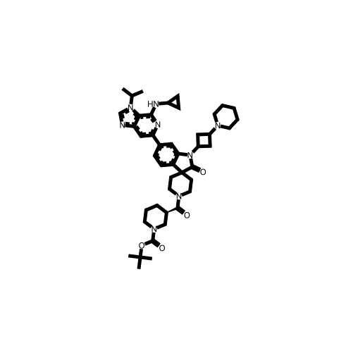 CC(C)n1cnc2cc(-c3ccc4c(c3)N(C3CC(N5CCCCC5)C3)C(=O)C43CCN(C(=O)[C@@H]4CCCN(C(=O)OC(C)(C)C)C4)CC3)nc(NC3CC3)c21